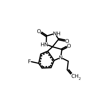 C=CCN1C(=O)C2(NC(=O)NC2=O)c2cc(F)ccc21